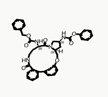 O=C(N[C@@H]1CCNC(=O)c2ccccc2-c2cccc(c2)OC[C@@H]2C[C@H](NC(=O)Oc3ccccc3)CN2C1=O)OCc1ccccc1